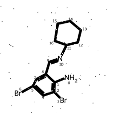 Nc1c(Br)cc(Br)cc1C=NC1CCCCC1